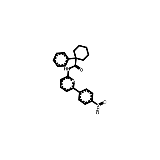 O=C(Nc1cccc(-c2ccc([SH](=O)=O)cc2)n1)C1(c2ccccc2)CCCCC1